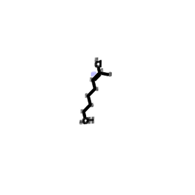 C/C(Cl)=C\CCCCO